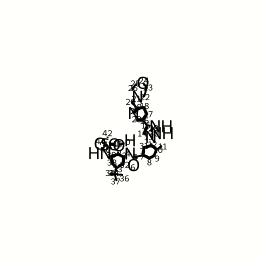 COc1c(NC(=O)c2ccc(C)c(N3C=C(c4ccc(CN5CCOCC5)nc4)NN3)c2)cc(C(C)(C)C)cc1NS(C)(=O)=O